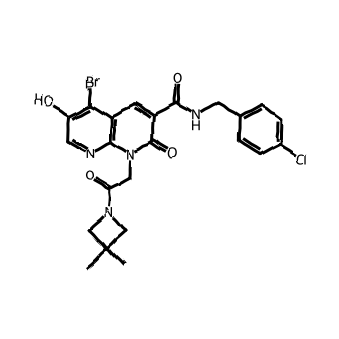 CC1(C)CN(C(=O)Cn2c(=O)c(C(=O)NCc3ccc(Cl)cc3)cc3c(Br)c(O)cnc32)C1